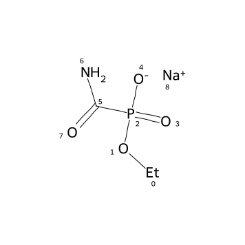 CCOP(=O)([O-])C(N)=O.[Na+]